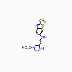 Cc1nc2ccc(NCCC3CN(C(=O)O)CCN3)cc2s1